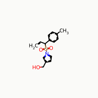 C=CC(c1ccc(C)cc1)S(=O)(=O)n1ccc(CO)c1